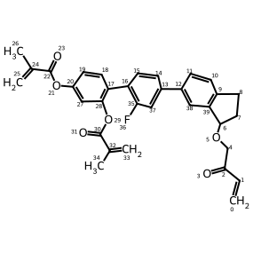 C=CC(=O)COC1CCc2ccc(-c3ccc(-c4ccc(OC(=O)C(=C)C)cc4OC(=O)C(=C)C)c(F)c3)cc21